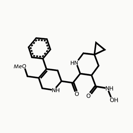 COCC1=C(c2ccccc2)CC(C(=O)C2NCC3(CC3)CC2C(=O)NO)NC1